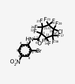 O=C(Nc1ccc([N+](=O)[O-])cc1Br)C1(F)C(F)(F)C(F)(F)C(F)(Cl)C(F)(F)C1(F)F